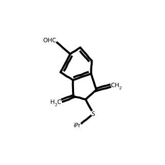 C=C1c2ccc(C=O)cc2C(=C)C1SC(C)C